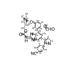 Cc1c(-c2ccnn2-c2ccc(C#N)cc2)cn2nc(NC(=O)OCCC[N+](C)(C)C)nc2c1-c1cccc(C(F)(F)F)c1.O=C[O-]